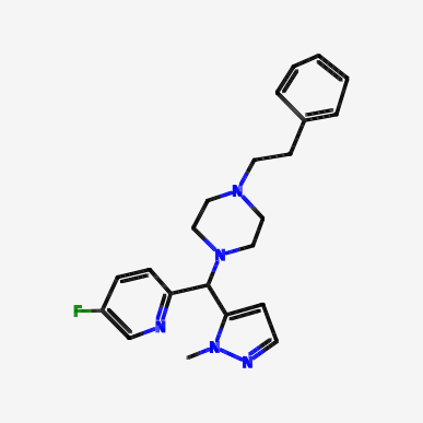 Cn1nccc1C(c1ccc(F)cn1)N1CCN(CCc2ccccc2)CC1